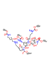 CN(C(=O)OC(C)(C)C)[C@@H]1[C@@H](O)[C@@H](O[C@H]2[C@H](NC(=O)[C@@H](O)CCNC(=O)OC(C)(C)C)C[C@H](NC(=O)OC(C)(C)C)C([C@H]3OC(CNCC4(O)CC(CNC(=O)OC(C)(C)C)C4)=CC[C@H]3NC(=O)OC(C)(C)C)[C@@H]2O)OC[C@]1(C)O